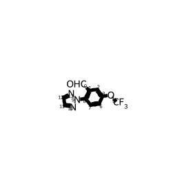 O=Cc1cc(OC(F)(F)F)ccc1-n1nccn1